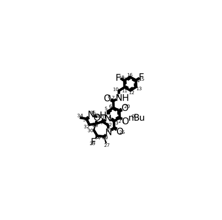 CCCCOc1c2n(cc(C(=O)NCc3ccc(F)cc3F)c1=O)[C@@H]1CN(C2=O)[C@@H](C)[C@@H](F)C[C@]12CC(C)=NO2